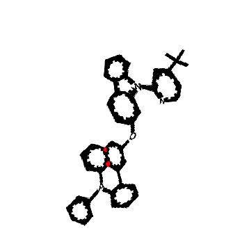 CC(C)(C)c1ccnc(-n2c3ccccc3c3ccc(Oc4cccc(-c5ccccc5P(c5ccccc5)c5ccccc5)c4)cc32)c1